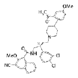 COc1ccc(C2CCN(CC[C@H](CNC(=O)c3c(OC)c(C#N)cc4ccccc34)c3ccc(Cl)c(Cl)c3)CC2)c([S+](C)[O-])c1